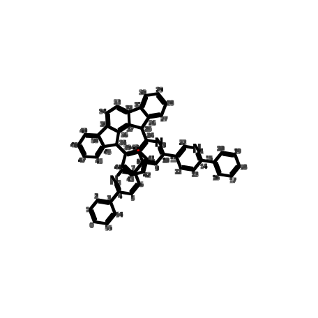 c1ccc(-c2ccc(-c3cc(-c4ccc(-c5ccccc5)nc4)nc(C4c5ccccc5-c5ccc6c(c54)C(c4ccccc4)c4ccccc4-6)c3)cn2)cc1